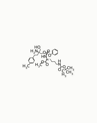 COC(=O)[C@@H](CCCCNC(=O)OC(C)(C)C)NP(=O)(OCC(N)(CO)CCc1ccc(C)cc1)Oc1ccccc1